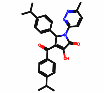 Cc1ccc(N2C(=O)C(O)=C(C(=O)c3ccc(C(C)C)cc3)C2c2ccc(C(C)C)cc2)nn1